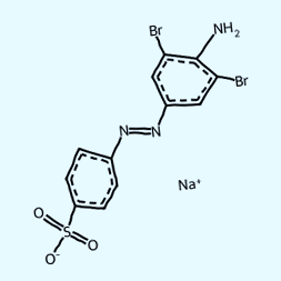 Nc1c(Br)cc(N=Nc2ccc(S(=O)(=O)[O-])cc2)cc1Br.[Na+]